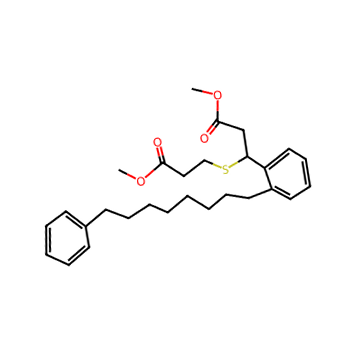 COC(=O)CCSC(CC(=O)OC)c1ccccc1CCCCCCCCc1ccccc1